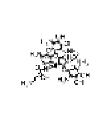 NCCN(O)C(=O)N[C@@H]1C[C@H](N)[C@@H](O[C@H]2O[C@H](CN)[C@@H](O)[C@@H](O)[C@H]2N)[C@H](O[C@@H]2O[C@H](CO)[C@@H](O[C@H]3O[C@@H](CN)C(O)[C@H](O)[C@H]3N)[C@H]2O)[C@H]1O